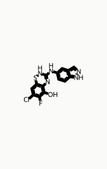 Oc1c(F)c(Cl)cc2c1N=C(Nc1ccc3[nH]ncc3c1)NS2